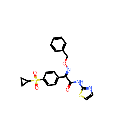 O=C(Nc1nccs1)/C(=N/OCc1ccccc1)c1ccc(S(=O)(=O)C2CC2)cc1